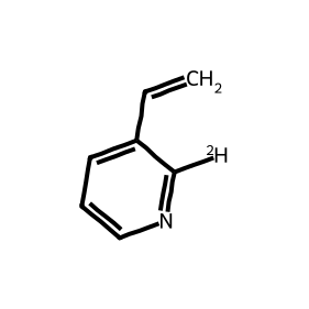 [2H]c1ncccc1C=C